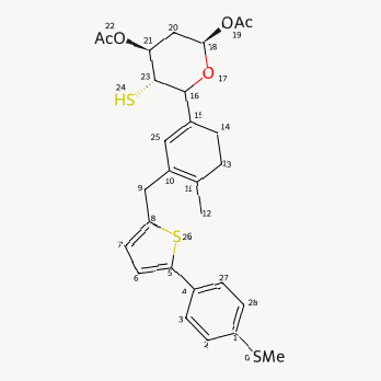 CSc1ccc(-c2ccc(CC3=C(C)CCC(C4O[C@H](OC(C)=O)C[C@H](OC(C)=O)[C@H]4S)=C3)s2)cc1